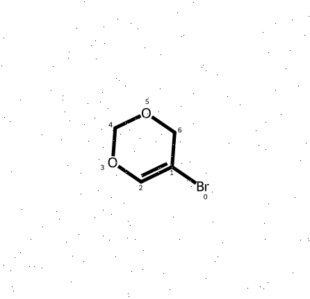 BrC1=COCOC1